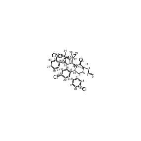 C=CC[C@@]1(C)C[C@H](c2cccc(Cl)c2)[C@@H](c2ccc(Cl)cc2)N(C(CN(c2ccccc2C#N)S(C)(=O)=O)C2CC2)C1=O